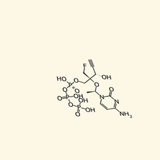 C#C[C@H](O)[C@@](CF)(COP(=O)(O)OP(=O)(O)OP(=O)(O)O)O[C@H](C)n1ccc(N)nc1=O